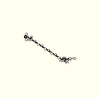 CC(C)C(NC(=O)CCOCCOCCOCCOCCOCCOCCOCCOCCNC(=O)CCN1C(=O)C=CC1=O)C(=O)NCC=O